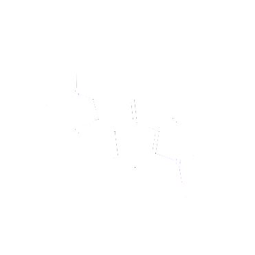 Nc1c([N+](=O)[O-])ccc2c(N)c([N+](=O)[O-])ccc12